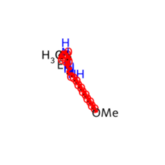 CCN(Cc1nnc(-c2cccc(NC(=O)COCCOCCOCCOCCOCCOCCOCCOCCOCCOCCOC)c2)nn1)C(=O)Oc1ccc(COC(=O)Nc2ccc3c(C)cc(=O)oc3c2)cc1